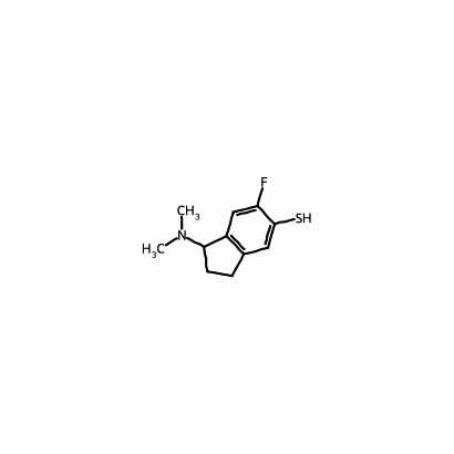 CN(C)C1CCc2cc(S)c(F)cc21